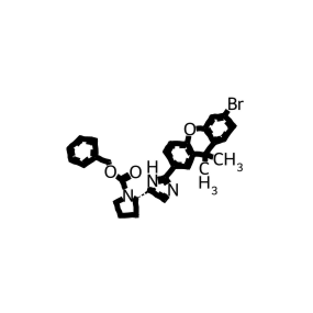 CC1(C)c2ccc(Br)cc2Oc2ccc(-c3ncc([C@@H]4CCCN4C(=O)OCc4ccccc4)[nH]3)cc21